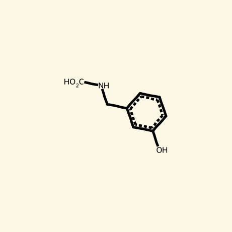 O=C(O)NCc1cccc(O)c1